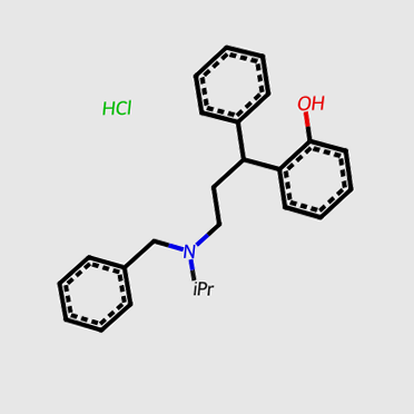 CC(C)N(CCC(c1ccccc1)c1ccccc1O)Cc1ccccc1.Cl